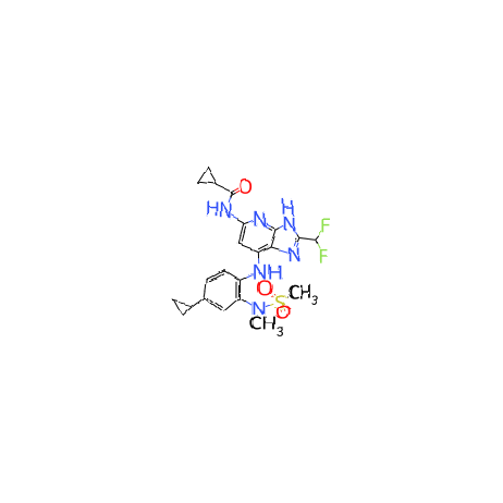 CN(c1cc(C2CC2)ccc1Nc1cc(NC(=O)C2CC2)nc2[nH]c(C(F)F)nc12)S(C)(=O)=O